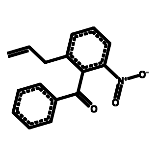 C=CCc1cccc([N+](=O)[O-])c1C(=O)c1ccccc1